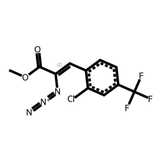 COC(=O)/C(=C/c1ccc(C(F)(F)F)cc1Cl)N=[N+]=[N-]